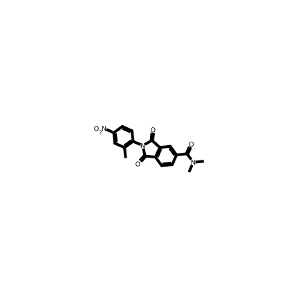 Cc1cc([N+](=O)[O-])ccc1N1C(=O)c2ccc(C(=O)N(C)C)cc2C1=O